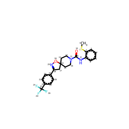 CSc1ccccc1NC(=O)N1CCC2(CC1)CC(c1ccc(C(F)(F)F)cc1)=NO2